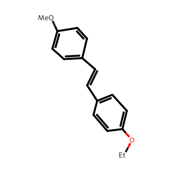 CCOc1ccc(C=Cc2ccc(OC)cc2)cc1